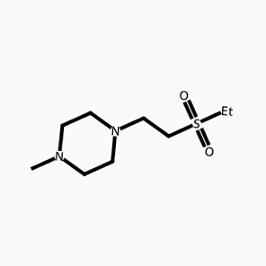 CCS(=O)(=O)CCN1CCN(C)CC1